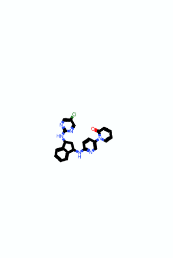 O=c1ccccn1-c1ccc(NC2CC(Nc3ncc(Cl)cn3)c3ccccc32)nc1